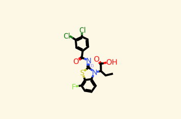 CCC(C(=O)O)n1/c(=N/C(=O)c2ccc(Cl)c(Cl)c2)sc2c(F)cccc21